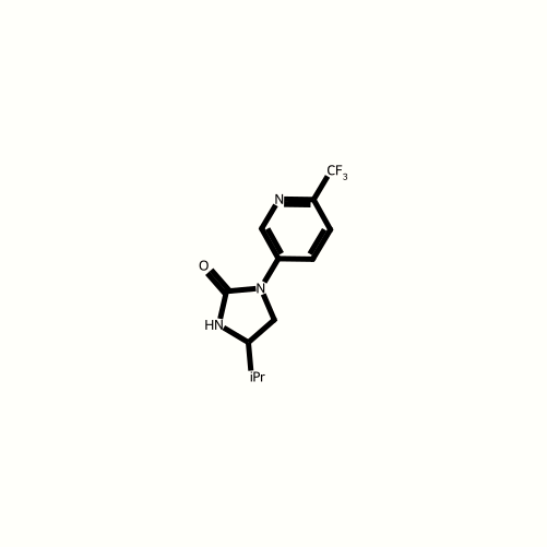 CC(C)C1CN(c2ccc(C(F)(F)F)nc2)C(=O)N1